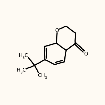 CC(C)(C)C1=CC2OCCC(=O)C2C=C1